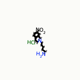 Cl.NCCCCCN1CCc2ccc([N+](=O)[O-])cc2C1